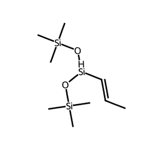 CC=C[SiH](O[Si](C)(C)C)O[Si](C)(C)C